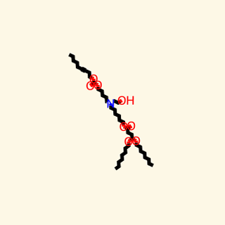 CCCCCC#CCCOC(=O)OCCCCCN(CCO)CCCCCCOC(=O)CCC(OCCCCCCCC)OCCCCCCCC